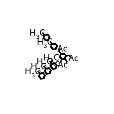 CC(=O)Cc1cc(CC(C)=O)c(CC(C)=O)c(CC(C)=O)c1C.Cc1ccccc1.Cc1ccccc1.Cc1ccccc1.Cc1ccccc1.Cc1ccccc1